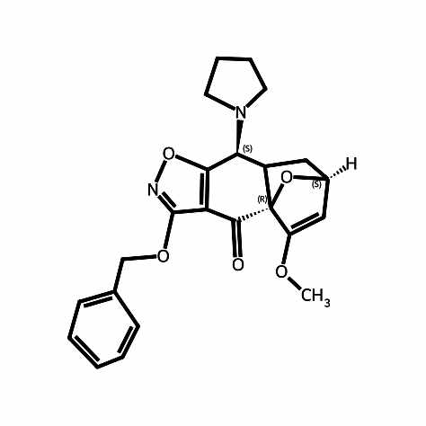 COC1=C[C@@H]2CC3[C@H](N4CCCC4)c4onc(OCc5ccccc5)c4C(=O)[C@]13O2